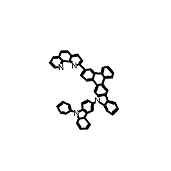 C1=CC2c3cc(-n4c5ccccc5c5cc6c7ccccc7c7cc(-c8ccc9ccc%10cccnc%10c9n8)ccc7c6cc54)ccc3N(c3ccccc3)C2C=C1